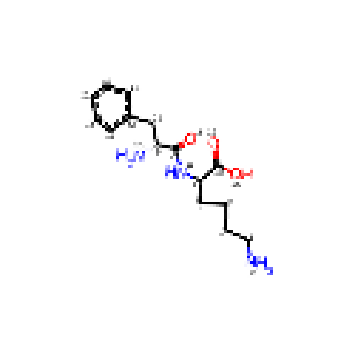 NCCCC[C@@H](NC(=O)[C@H](N)Cc1ccccc1)C(=O)O